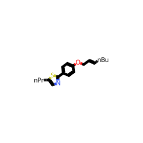 CCCC/C=C/COc1ccc(-c2ncc(CCC)s2)cc1